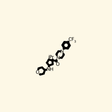 CC(C)C1(C(=O)N2CCN(c3ccc(C(F)(F)F)cc3)CC2)CCC(NC2CCOCC2)C1